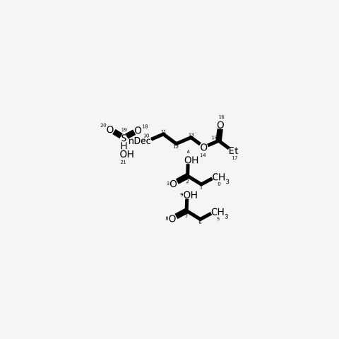 CCC(=O)O.CCC(=O)O.CCCCCCCCCCCCCOC(=O)CC.O=[SH](=O)O